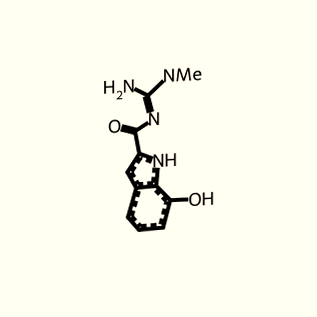 CNC(N)=NC(=O)c1cc2cccc(O)c2[nH]1